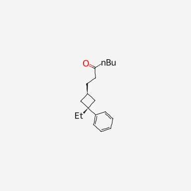 CCCCC(=O)CC[C@H]1C[C@](CC)(c2ccccc2)C1